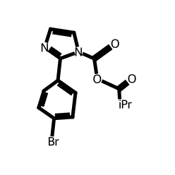 CC(C)C(=O)OC(=O)n1ccnc1-c1ccc(Br)cc1